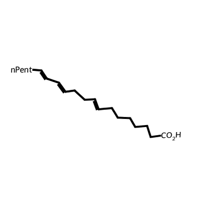 CCCCCC=CC=CCCC=CCCCCCCC(=O)O